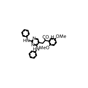 COc1ccc(OC)c(C(Cc2cnc(Nc3ccccc3)nc2Nc2ccccc2)C(=O)O)c1